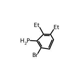 CCc1ccc(Br)c(P)c1CC